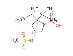 C#CC[C@@]1(C(C)(C)C)C[C@@H](OS(C)(=O)=O)CN1C(=O)O